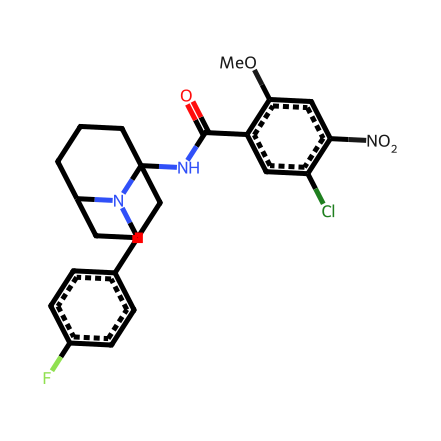 COc1cc([N+](=O)[O-])c(Cl)cc1C(=O)NC12CCCC(CCC1)N2Cc1ccc(F)cc1